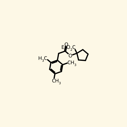 CCOC(=O)C1(OC(=O)Cc2c(C)cc(C)cc2C)CCCC1